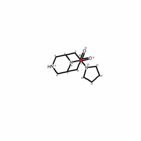 O=C1CC2CNCC(C1)N2C(=O)N1CCCC1